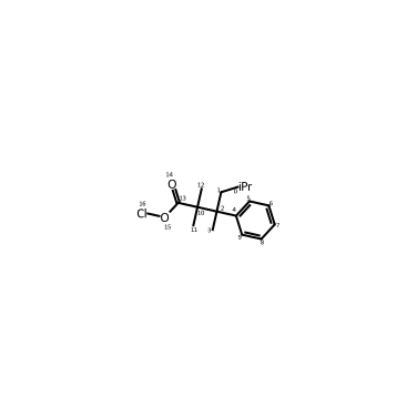 CC(C)CC(C)(c1ccccc1)C(C)(C)C(=O)OCl